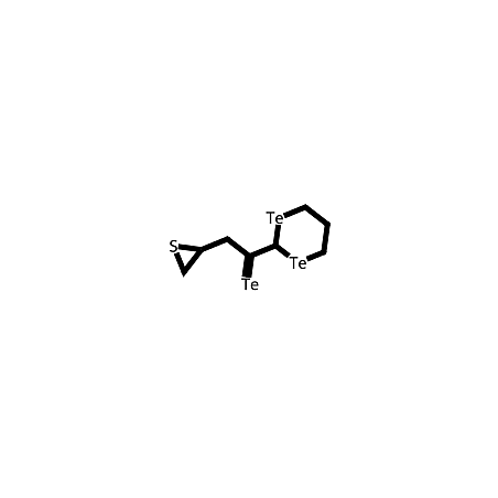 [Te]=C(CC1CS1)C1[Te]CCC[Te]1